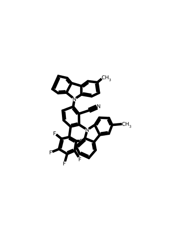 Cc1ccc2c(c1)c1ccccc1n2-c1ccc(-c2c(F)c(F)c(F)c(F)c2F)c(-n2c3ccccc3c3cc(C)ccc32)c1C#N